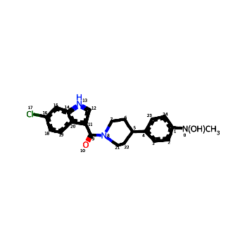 CN(O)c1ccc(C2CCN(C(=O)c3c[nH]c4cc(Cl)ccc34)CC2)cc1